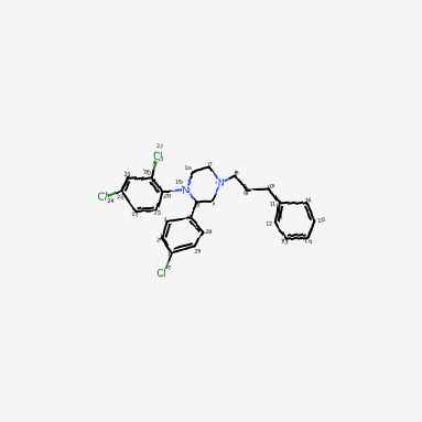 Clc1ccc(C2CN(CCCc3ccccc3)CCN2c2ccc(Cl)cc2Cl)cc1